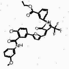 CCOC(=O)c1cccc(N2N=C(C(F)(F)F)C(=Cc3ccc(-c4ccc(Cl)c(C(=O)Nc5cccc(OC)c5)c4)o3)C2=O)c1